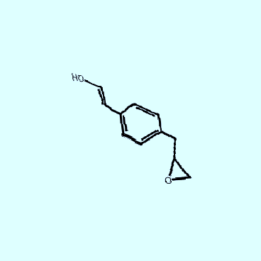 OC=Cc1ccc(CC2CO2)cc1